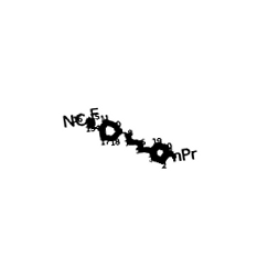 CCCc1ccc(CCCC[C@H]2CC[C@H](C=C(F)C#N)CC2)cc1